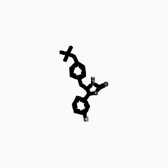 CC(C)(C)Cc1ccc(CC2NC(=O)OC2c2cccc(Cl)c2)cc1